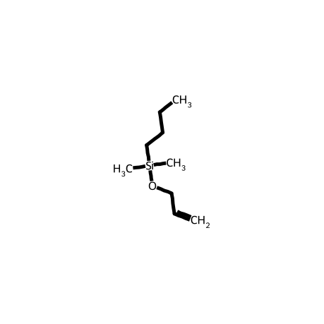 C=CCO[Si](C)(C)CCCC